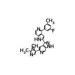 Cc1cc(F)cc(-c2nccc3[nH]c(-c4n[nH]c5cnc(-c6cnc(C)n6C)cc45)cc23)c1